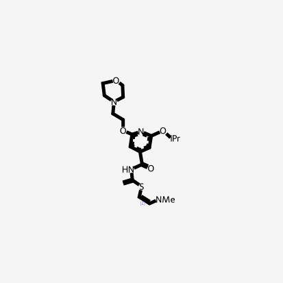 C=C(NC(=O)c1cc(OCCN2CCOCC2)nc(OC(C)C)c1)S/C=C\NC